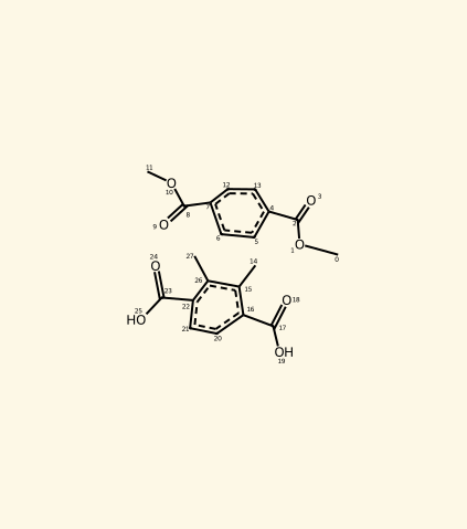 COC(=O)c1ccc(C(=O)OC)cc1.Cc1c(C(=O)O)ccc(C(=O)O)c1C